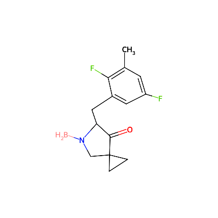 BN1CC2(CC2)C(=O)C1Cc1cc(F)cc(C)c1F